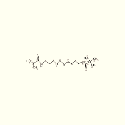 C=C(C)C(=O)NCCCOCCOCCCNC(=O)C(C)(C)C